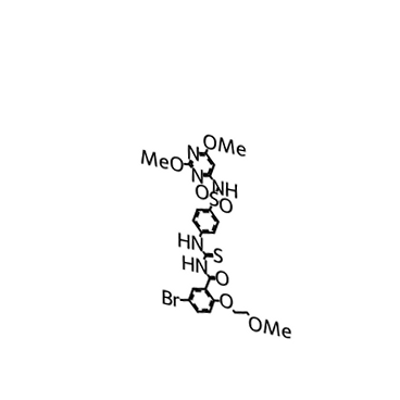 COCCOc1ccc(Br)cc1C(=O)NC(=S)Nc1ccc(S(=O)(=O)Nc2cc(OC)nc(OC)n2)cc1